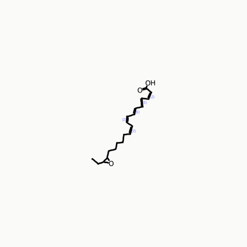 CCC1OC1CCCCC\C=C/C=C\C=C\C=C\C=C/C(=O)O